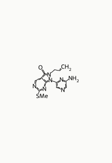 C=CCn1c(=O)c2cnc(SC)nc2n1-c1cncc(N)n1